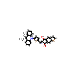 CC1(C)c2ccccc2N(c2ccc(/C=C3\C(=O)c4cc5ccsc5cc4C3=O)s2)c2ccccc21